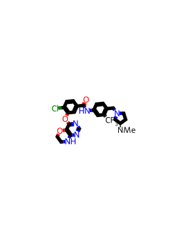 CN[C@H]1CCN(Cc2ccc(NC(=O)c3ccc(Cl)c(Oc4ncnc5c4OCCN5)c3)cc2C(F)(F)F)C1